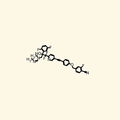 N#Cc1ccc(COc2ccc(C#Cc3ccc(C(F)(F)C(O)(CN(N)/C=N\N)c4cc(F)ccc4F)nc3)cc2)cc1F